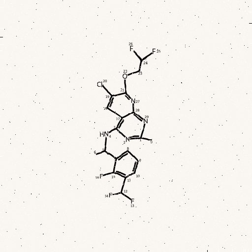 Cc1nc(NC(C)c2cccc(C(F)F)c2F)c2cc(Cl)c(OCC(F)F)nc2n1